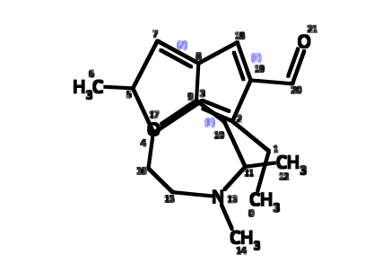 CCC1=C\CC(C)/C=C(C2CC(C)N(C)CCO2)/C=C\1C=O